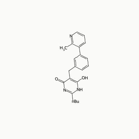 CCCCc1nc(=O)c(Cc2cccc(-c3cccnc3C)c2)c(O)[nH]1